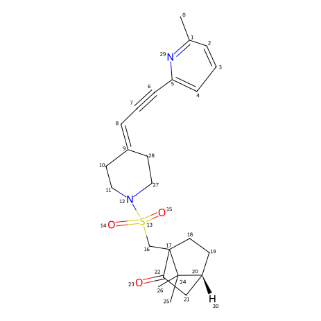 Cc1cccc(C#CC=C2CCN(S(=O)(=O)CC34CC[C@H](CC3=O)C4(C)C)CC2)n1